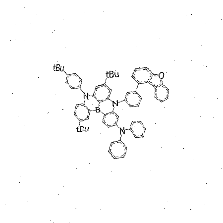 CC(C)(C)c1ccc(N2c3ccc(C(C)(C)C)cc3B3c4ccc(N(c5ccccc5)c5ccccc5)cc4N(c4cccc(-c5cccc6oc7ccccc7c56)c4)c4cc(C(C)(C)C)cc2c43)cc1